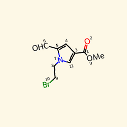 COC(=O)c1cc(C=O)n(CCBr)c1